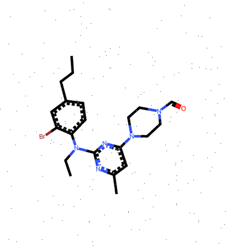 CCCc1ccc(N(CC)c2nc(C)cc(N3CCN(C=O)CC3)n2)c(Br)c1